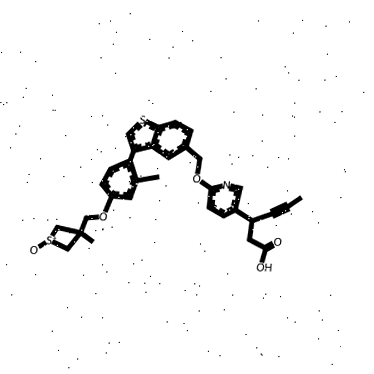 CC#CC(CC(=O)O)c1ccc(OCc2ccc3scc(-c4ccc(OCC5(C)C[S+]([O-])C5)cc4C)c3c2)nc1